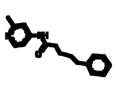 Cc1cc(NC(=O)CCCCc2ccccc2)ccn1